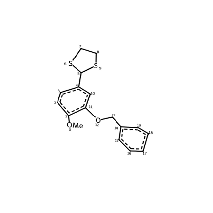 COc1ccc(C2SCCS2)cc1OCc1ccccc1